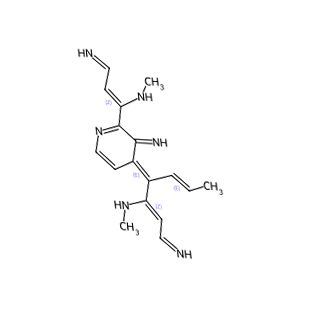 C/C=C/C(C(=C/C=N)/NC)=C1/C=CN=C(/C(=C/C=N)NC)C1=N